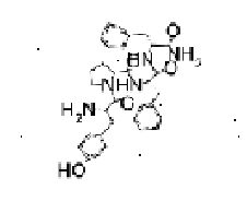 NC(=O)[C@@H](Cc1ccccc1)NC(=O)[C@H](Cc1ccccc1)NC(=O)[C@@H]1CCCN1C(=O)[C@@H](N)Cc1ccc(O)cc1